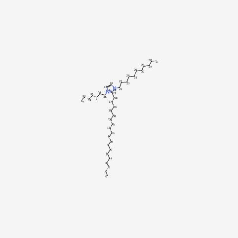 CCCCCCCCCCCCCCCCCCCc1n(CCCCCCCCCCC)cc[n+]1CCCCCCC